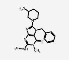 CCCNc1nc2nc(N3CCCC(N)C3)n(Cc3ccccc3)c2c(=O)n1C